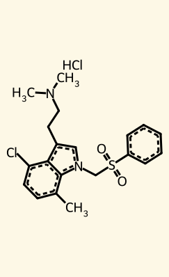 Cc1ccc(Cl)c2c(CCN(C)C)cn(CS(=O)(=O)c3ccccc3)c12.Cl